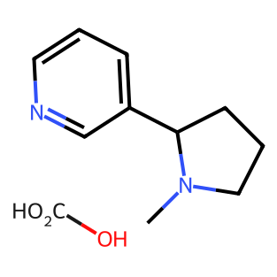 CN1CCCC1c1cccnc1.O=C(O)O